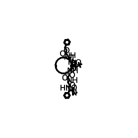 CN(C)C(=O)[C@@H](NC(=O)CNC(=O)C(=O)[C@@H]1CCCCC=CCCCC[C@H](NC(=O)OCc2ccccc2)C(=O)N2CC3OC(C)(C)C[C@@H]3[C@H]2C(=O)N1)c1ccccc1